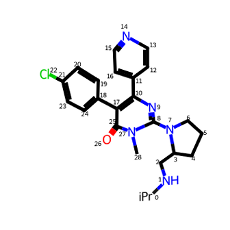 CC(C)NCC1CCCN1c1nc(-c2ccncc2)c(-c2ccc(Cl)cc2)c(=O)n1C